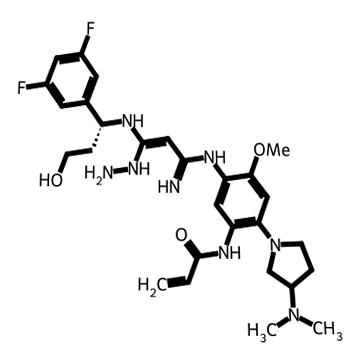 C=CC(=O)Nc1cc(NC(=N)/C=C(\NN)N[C@H](CCO)c2cc(F)cc(F)c2)c(OC)cc1N1CCC(N(C)C)C1